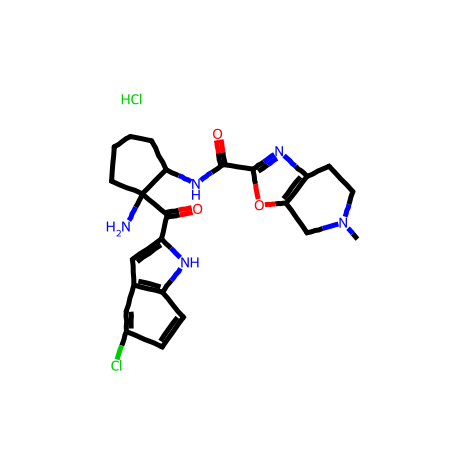 CN1CCc2nc(C(=O)NC3CCCCC3(N)C(=O)c3cc4cc(Cl)ccc4[nH]3)oc2C1.Cl